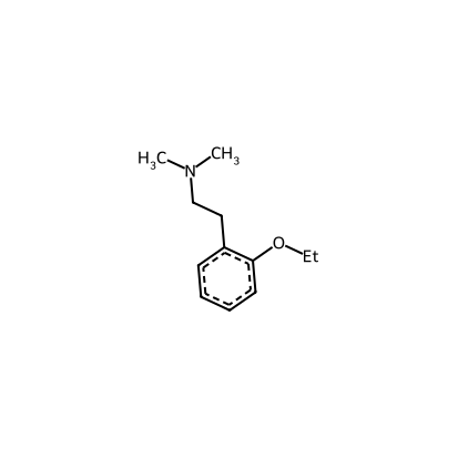 CCOc1ccccc1CCN(C)C